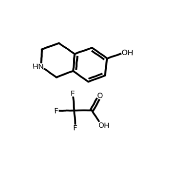 O=C(O)C(F)(F)F.Oc1ccc2c(c1)CCNC2